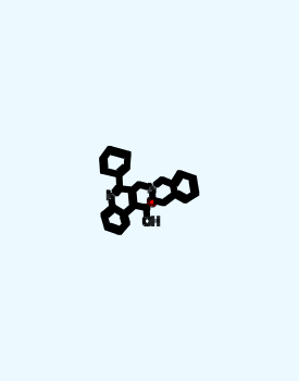 O=C(O)c1c(CN2CCc3ccccc3C2)c(-c2ccccc2)nc2ccccc12